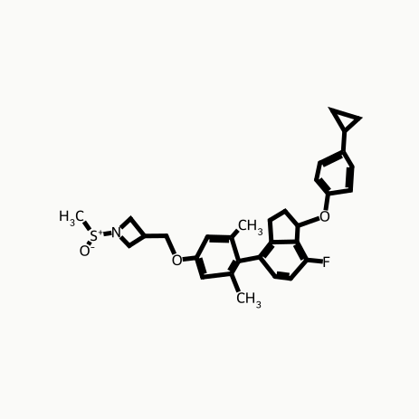 Cc1cc(OCC2CN([S+](C)[O-])C2)cc(C)c1-c1ccc(F)c2c1CCC2Oc1ccc(C2CC2)cc1